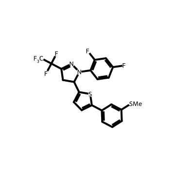 CSc1cccc(-c2ccc(C3CC(C(F)(F)C(F)(F)F)=NN3c3ccc(F)cc3F)s2)c1